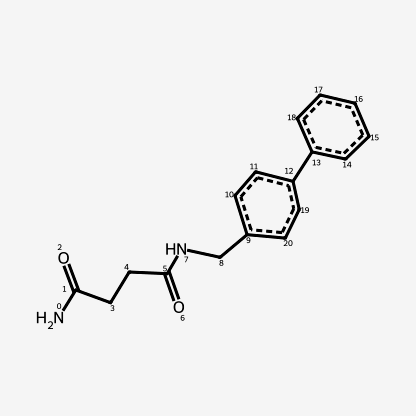 NC(=O)CCC(=O)NCc1ccc(-c2ccccc2)cc1